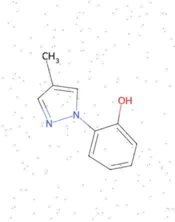 Cc1cnn(-c2ccccc2O)c1